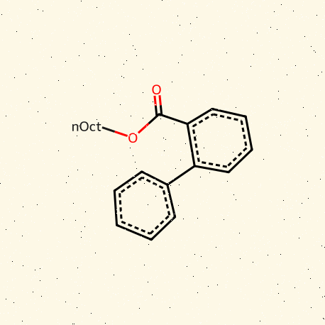 CCCCCCCCOC(=O)c1ccccc1-c1ccccc1